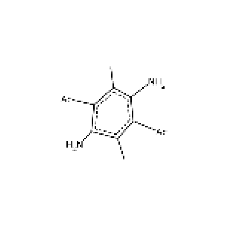 CC(=O)c1c(C)c(N)c(C(C)=O)c(C)c1N